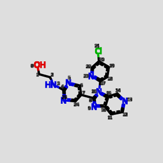 OCCNc1ncc(-c2nc3ccncc3n2-c2ccc(Cl)cn2)cn1